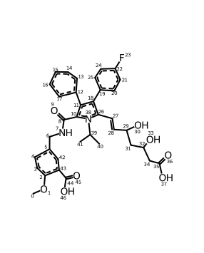 COc1ccc(CNC(=O)c2c(-c3ccccc3)c(-c3ccc(F)cc3)c(C=CC(O)CC(O)CC(=O)O)n2C(C)C)cc1C(=O)O